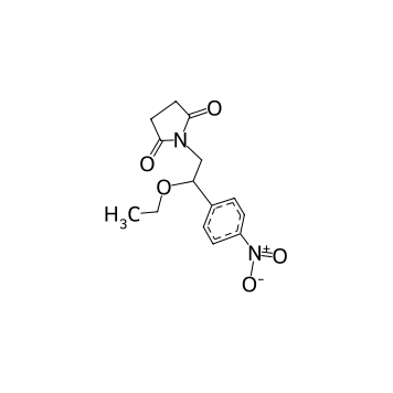 CCOC(CN1C(=O)CCC1=O)c1ccc([N+](=O)[O-])cc1